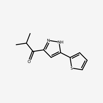 CC(C)C(=O)c1cc(-c2cccs2)[nH]n1